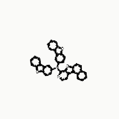 c1ccc2c(c1)ccc1oc3c(N(c4ccc5oc6ccccc6c5c4)c4ccc5oc6ccccc6c5c4)nccc3c12